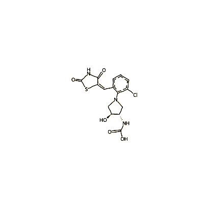 O=C(O)N[C@H]1CN(c2c(Cl)cccc2C=C2SC(=O)NC2=O)C[C@@H]1O